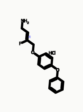 Cl.NC/C=C(\F)COc1ccc(Oc2ccccc2)cc1